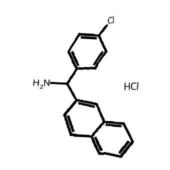 Cl.NC(c1ccc(Cl)cc1)c1ccc2ccccc2c1